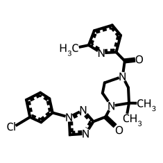 Cc1cccc(C(=O)N2CCN(C(=O)c3ncn(-c4cccc(Cl)c4)n3)C(C)(C)C2)n1